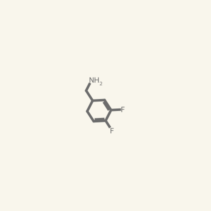 NCC1C=C(F)C(F)=CC1